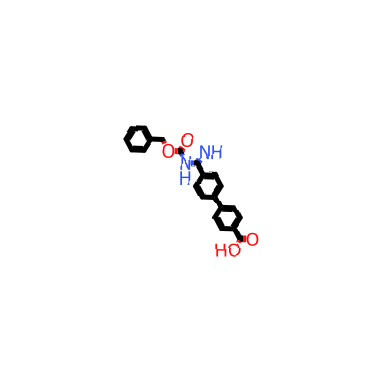 N=C(NC(=O)OCc1ccccc1)c1ccc(-c2ccc(C(=O)O)cc2)cc1